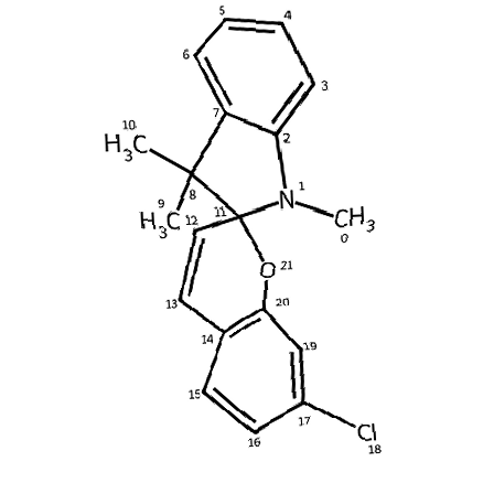 CN1c2ccccc2C(C)(C)C12C=Cc1ccc(Cl)cc1O2